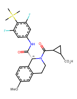 COc1ccc2c(c1)CCN(C(=O)C1CC1C(=O)O)[C@H]2C(=O)Nc1cc(F)c(S(C)(C)C)c(F)c1